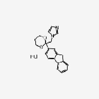 Cl.c1ccc2c(c1)Cc1cc(C3(Cn4ccnc4)OCCCO3)ccc1-2